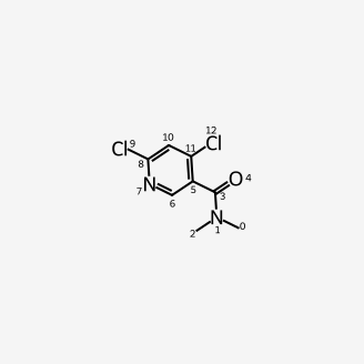 CN(C)C(=O)c1cnc(Cl)cc1Cl